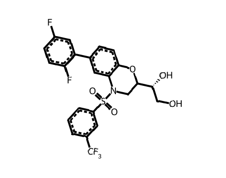 O=S(=O)(c1cccc(C(F)(F)F)c1)N1CC([C@H](O)CO)Oc2ccc(-c3cc(F)ccc3F)cc21